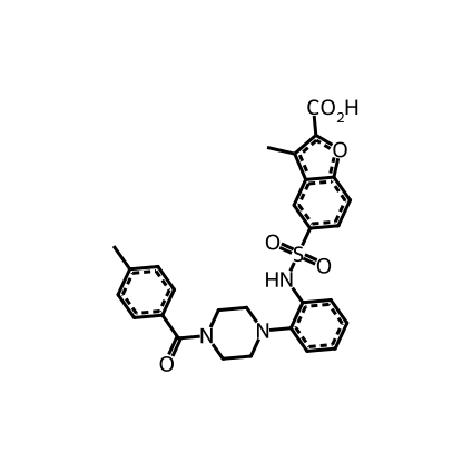 Cc1ccc(C(=O)N2CCN(c3ccccc3NS(=O)(=O)c3ccc4oc(C(=O)O)c(C)c4c3)CC2)cc1